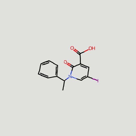 CC(c1ccccc1)n1cc(I)cc(C(=O)O)c1=O